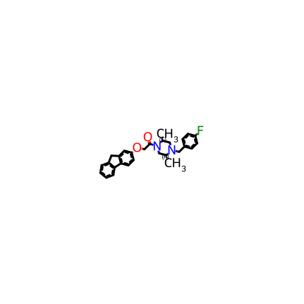 C[C@@H]1CN(C(=O)COc2ccc3c(c2)Cc2ccccc2-3)[C@@H](C)CN1Cc1ccc(F)cc1